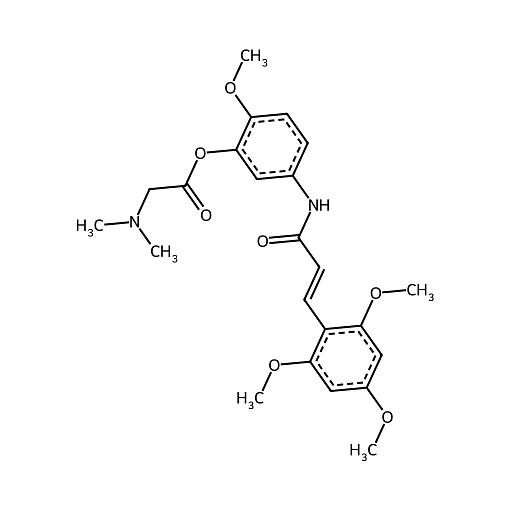 COc1cc(OC)c(/C=C/C(=O)Nc2ccc(OC)c(OC(=O)CN(C)C)c2)c(OC)c1